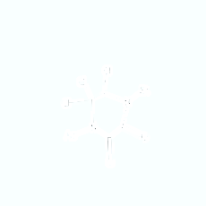 CCN1C(=O)C(=O)N(C(C)=O)C(Cl)(Cl)C1Cl